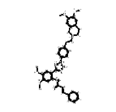 COc1cc2c(cc1OC)CN(CCc1ccc(-n3nnc(-c4cc(OC)c(OC)cc4NC(=O)C=Cc4ccccc4)n3)cc1)CC2